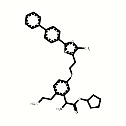 Cc1oc(-c2ccc(-c3ccccc3)cc2)nc1CCOc1ccc(CCC(=O)O)c(C(N)C(=O)OC2CCCC2)c1